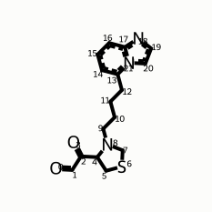 O=CC(=O)C1CSCN1CCCCc1cccc2nccn12